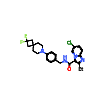 CCc1nc2ccc(Cl)cn2c1C(=O)NCc1ccc(N2CCC3(CC2)CC(F)(F)C3)cc1